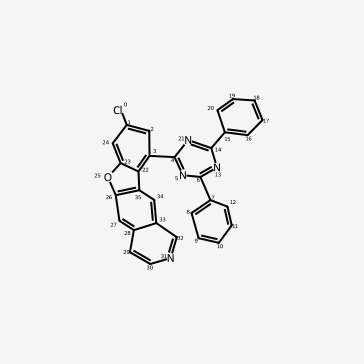 Clc1cc(-c2nc(-c3ccccc3)nc(-c3ccccc3)n2)c2c(c1)oc1cc3ccncc3cc12